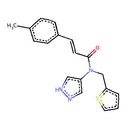 Cc1ccc(C=CC(=O)N(Cc2cccs2)c2cn[nH]c2)cc1